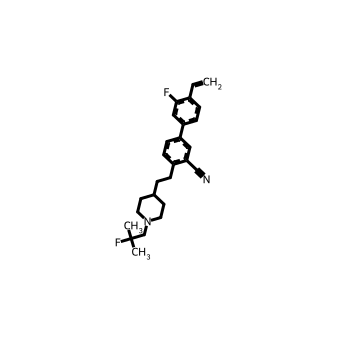 C=Cc1ccc(-c2ccc(CCC3CCN(CC(C)(C)F)CC3)c(C#N)c2)cc1F